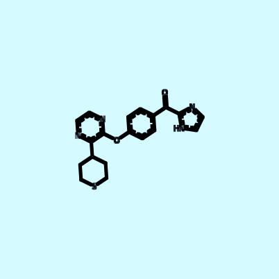 O=C(c1ccc(Oc2nccnc2C2CCSCC2)cc1)c1ncc[nH]1